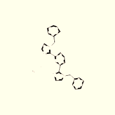 [Cl-].[Cl-].[Cl-].[Nd+3].c1ccc(Cn2ccnc2-c2cccc(-c3nccn3Cc3ccccc3)n2)cc1